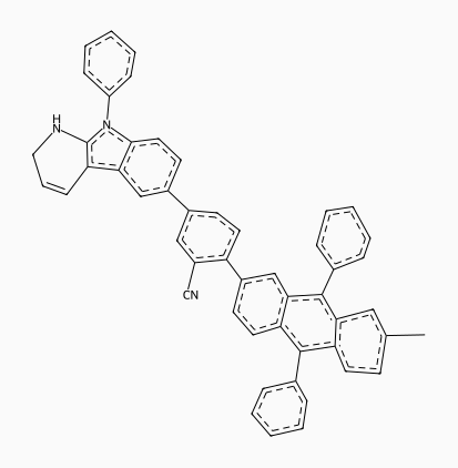 Cc1ccc2c(-c3ccccc3)c3ccc(-c4ccc(-c5ccc6c(c5)c5c(n6-c6ccccc6)NCC=C5)cc4C#N)cc3c(-c3ccccc3)c2c1